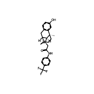 CN1CC[C@]2(C)c3cc(O)ccc3C[C@@H]1[C@@H]2N(C)CC(=O)Nc1ccc(C(F)(F)F)cc1